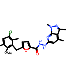 COc1c(C(C)C)cc(Cl)c(C)c1Cc1ccc(C(=O)NNc2cc(C)c3c(C)nn(C)c3n2)o1